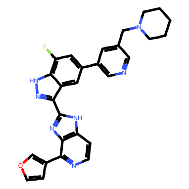 Fc1cc(-c2cncc(CN3CCCCC3)c2)cc2c(-c3nc4c(-c5ccoc5)nccc4[nH]3)n[nH]c12